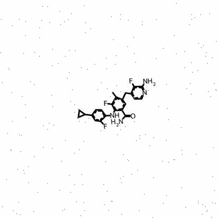 Cc1c(Cc2ccnc(N)c2F)cc(C(N)=O)c(Nc2ccc(C3CC3)cc2F)c1F